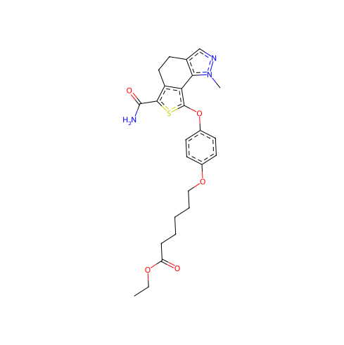 CCOC(=O)CCCCCOc1ccc(Oc2sc(C(N)=O)c3c2-c2c(cnn2C)CC3)cc1